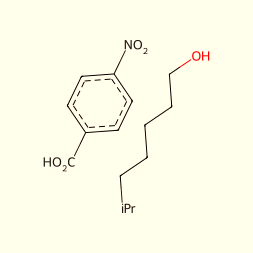 CC(C)CCCCCO.O=C(O)c1ccc([N+](=O)[O-])cc1